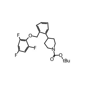 CC(C)(C)OC(=O)N1CCC(c2ccccc2COc2c(F)cc(F)cc2F)CC1